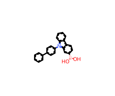 OB(O)c1ccc2c3ccccc3n(-c3ccc(-c4ccccc4)cc3)c2c1